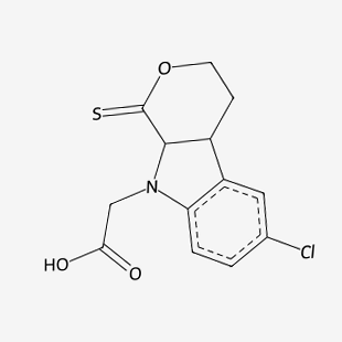 O=C(O)CN1c2ccc(Cl)cc2C2CCOC(=S)C21